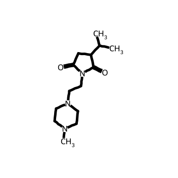 CC(C)C1CC(=O)N(CCN2CCN(C)CC2)C1=O